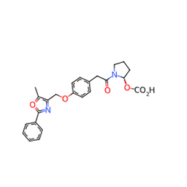 Cc1oc(-c2ccccc2)nc1COc1ccc(CC(=O)N2CCC[C@H]2OC(=O)O)cc1